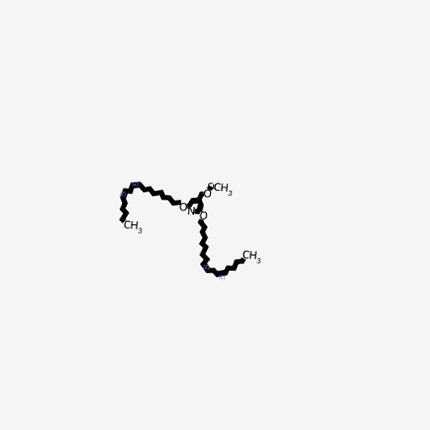 CCCCC/C=C\C/C=C\CCCCCCCCOc1cc(COSC)cc(OCCCCCCCC/C=C\C/C=C\CCCCC)n1